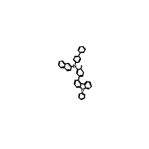 CC1CC=C(c2cccc3c2c2ccccc2n3-c2ccccc2)C=C1N(c1ccc(-c2ccccc2)cc1)c1ccc2ccccc2c1